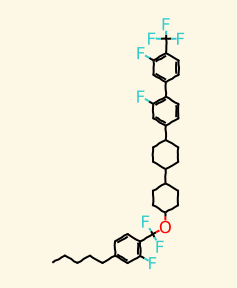 CCCCCc1ccc(C(F)(F)OC2CCC(C3CCC(c4ccc(-c5ccc(C(F)(F)F)c(F)c5)c(F)c4)CC3)CC2)c(F)c1